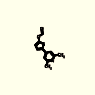 Cc1cc(-c2ccc(OC=O)s2)cc(C)n1